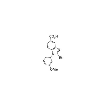 CCc1nc2cc(C(=O)O)ccc2n1-c1cccc(OC)c1